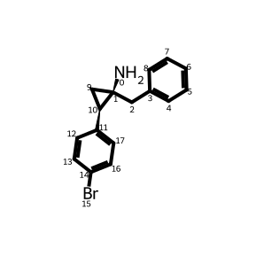 N[C@]1(Cc2ccccc2)C[C@@H]1c1ccc(Br)cc1